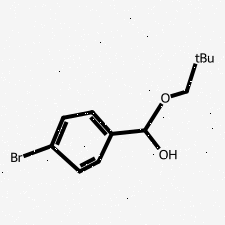 CC(C)(C)COC(O)c1ccc(Br)cc1